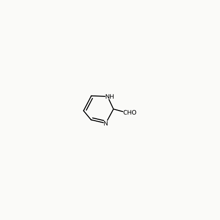 O=CC1N=CC=CN1